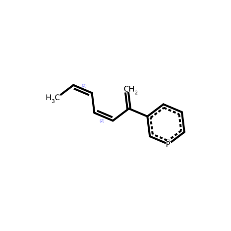 C=C(/C=C\C=C/C)c1cccpc1